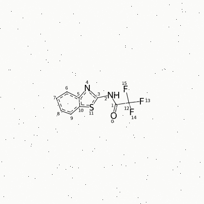 O=C(Nc1nc2ccccc2s1)C(F)(F)F